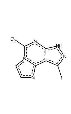 Clc1nc2[nH]nc(I)c2c2nccn12